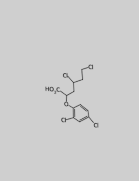 O=C(O)C(CC(Cl)CCCl)Oc1ccc(Cl)cc1Cl